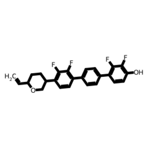 C=CC1CCC(c2ccc(-c3ccc(-c4ccc(O)c(F)c4F)cc3)c(F)c2F)CO1